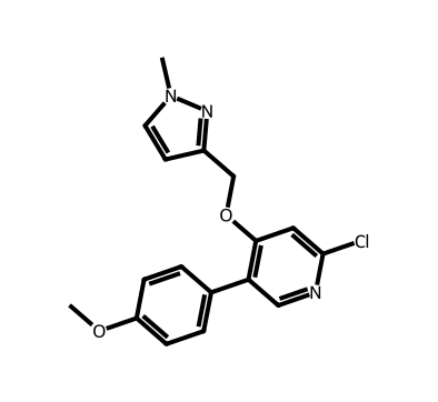 COc1ccc(-c2cnc(Cl)cc2OCc2ccn(C)n2)cc1